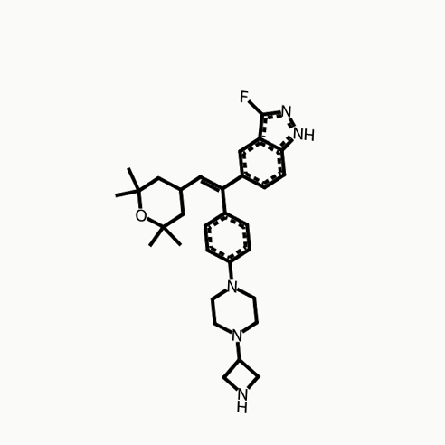 CC1(C)CC(C=C(c2ccc(N3CCN(C4CNC4)CC3)cc2)c2ccc3[nH]nc(F)c3c2)CC(C)(C)O1